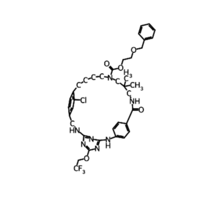 CC1(C)CNC(=O)c2ccc(cc2)Nc2nc(nc(OCC(F)(F)F)n2)NCc2ccc(c(Cl)c2)CCCCN(C(=O)OCCOCc2ccccc2)C1